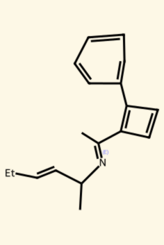 CCC=CC(C)/N=C(\C)C1=C(c2ccccc2)C=C1